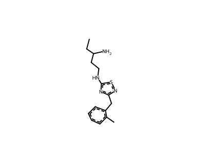 CCC(N)CCNc1nc(Cc2ccccc2C)ns1